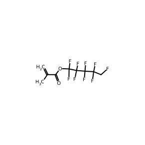 C=C(C)C(=O)OC(F)(F)C(F)(F)C(F)(F)C(F)(F)CF